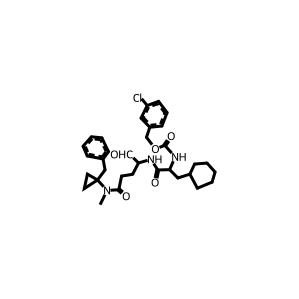 CN(C(=O)CCC(C=O)NC(=O)C(CC1CCCCC1)NC(=O)OCc1cccc(Cl)c1)C1(Cc2ccccc2)CC1